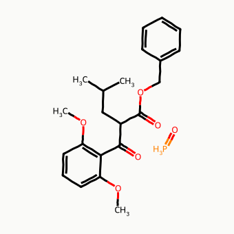 COc1cccc(OC)c1C(=O)C(CC(C)C)C(=O)OCc1ccccc1.O=[PH3]